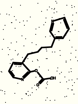 O=C(O)Oc1ncccc1CCCCc1cccnc1